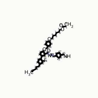 C=CC(=O)OCCCCCCOc1ccc(C(=O)Oc2ccc(-c3ccc(CCCCC)cc3F)cc2/C=N/N=C/c2ccc(C=N)cc2)cc1